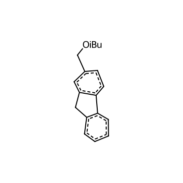 CC(C)COCc1ccc2c(c1)Cc1ccccc1-2